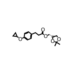 CC1(C)OC[C@@H](COC(=O)CCc2ccc(OC3CC3)cc2)O1